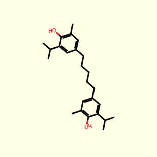 Cc1cc(CCCCCc2cc(C)c(O)c(C(C)C)c2)cc(C(C)C)c1O